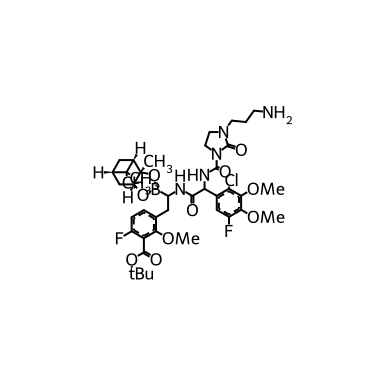 COc1c(F)cc(C(NC(=O)N2CCN(CCCN)C2=O)C(=O)NC(Cc2ccc(F)c(C(=O)OC(C)(C)C)c2OC)B2O[C@@H]3C[C@@H]4C[C@@H](C4(C)C)[C@]3(C)O2)c(Cl)c1OC